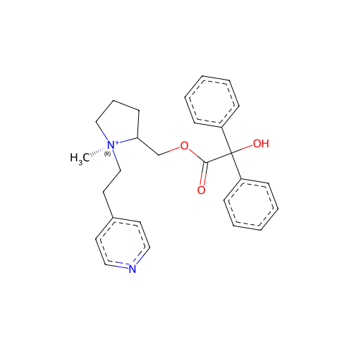 C[N@+]1(CCc2ccncc2)CCCC1COC(=O)C(O)(c1ccccc1)c1ccccc1